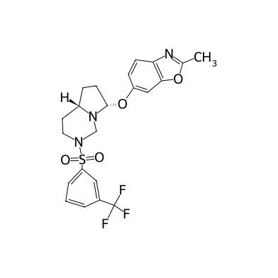 Cc1nc2ccc(O[C@H]3CC[C@H]4CCN(S(=O)(=O)c5cccc(C(F)(F)F)c5)CN43)cc2o1